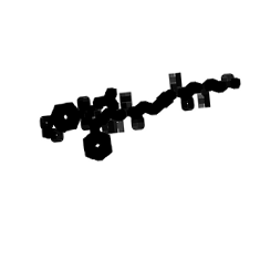 COCCNCC(=O)NC#CCCC(=O)NCCC(O)(Cc1ccccc1)N(CC(C)C)S(=O)(=O)c1ccc2c(c1)OCO2